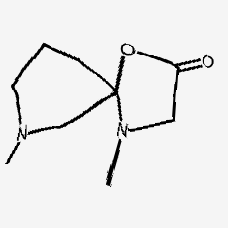 CN1CCCC2(C1)OC(=O)CN2C